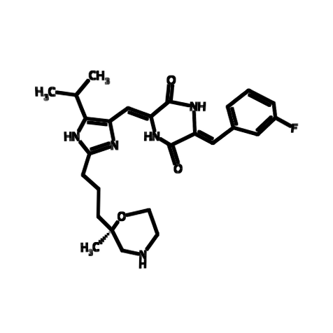 CC(C)c1[nH]c(CCC[C@]2(C)CNCCO2)nc1/C=c1\[nH]c(=O)/c(=C/c2cccc(F)c2)[nH]c1=O